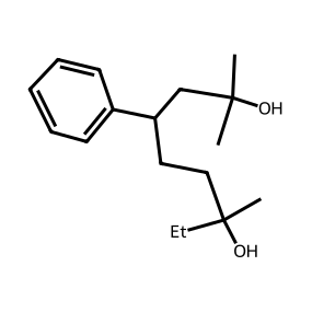 CCC(C)(O)CCC(CC(C)(C)O)c1ccccc1